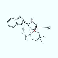 CC1(C)CCC2(CC1)NC[C@H](c1cnc3ccccn13)[C@]21C(=O)Nc2cc(Cl)ccc21